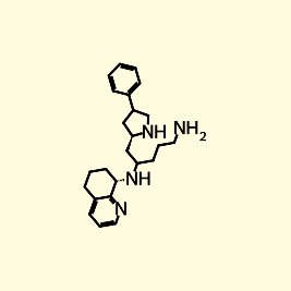 NCCCC(C[C@H]1CC(c2ccccc2)CN1)N[C@H]1CCCc2cccnc21